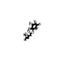 Cc1cc(CC(=O)Oc2c(F)c(F)c(F)c(F)c2F)on1